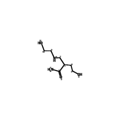 NC(=O)C(CCO)CNCCO